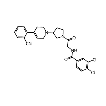 N#Cc1ccccc1C1=CCN(C2CCN(C(=O)CNC(=O)c3ccc(Cl)c(Cl)c3)C2)CC1